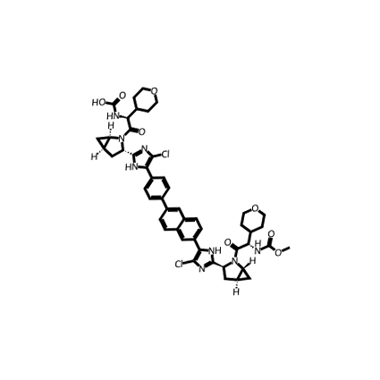 COC(=O)N[C@H](C(=O)N1[C@@H]2C[C@H]2C[C@H]1c1nc(Cl)c(-c2ccc3cc(-c4ccc(-c5[nH]c([C@@H]6C[C@H]7C[C@H]7N6C(=O)[C@@H](NC(=O)O)C6CCOCC6)nc5Cl)cc4)ccc3c2)[nH]1)C1CCOCC1